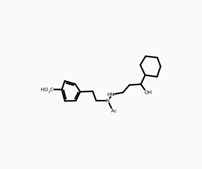 CC(=O)N(CCc1ccc(C(=O)O)cc1)NCCC(O)C1CCCCC1